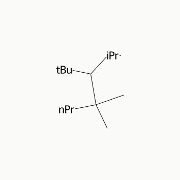 CCCC(C)(C)C([C](C)C)C(C)(C)C